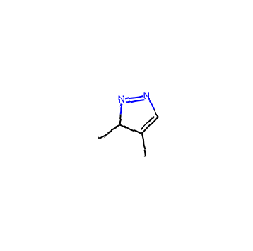 CC1=CN=NC1C